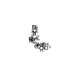 Cc1c(Cl)cccc1NC(=O)CCc1nnc(CCN2CCC(F)(F)CC2)n1C1CC1